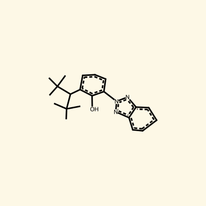 CC(C)(C)C(c1cccc(-n2nc3ccccc3n2)c1O)C(C)(C)C